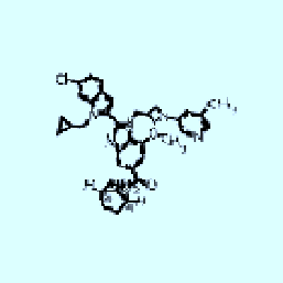 COc1cc(C(=O)N2C[C@H]3CC[C@@H]2[C@@H]3N)cc2nc(-c3cc4ccc(Cl)cc4n3CC3CC3)n(CC3CN(c4cncc(C)c4)C3)c12